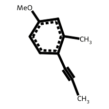 CC#Cc1ccc(OC)cc1C